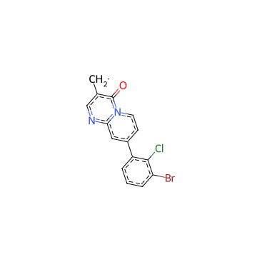 [CH2]c1cnc2cc(-c3cccc(Br)c3Cl)ccn2c1=O